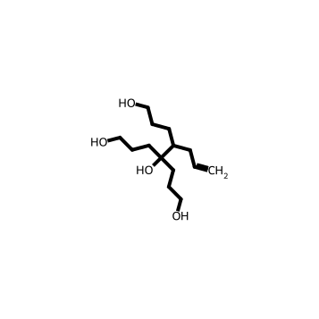 C=CCC(CCCO)C(O)(CCCO)CCCO